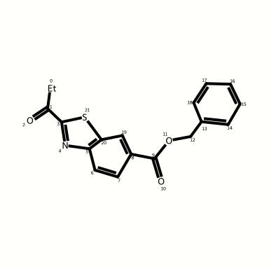 CCC(=O)c1nc2ccc(C(=O)OCc3ccccc3)cc2s1